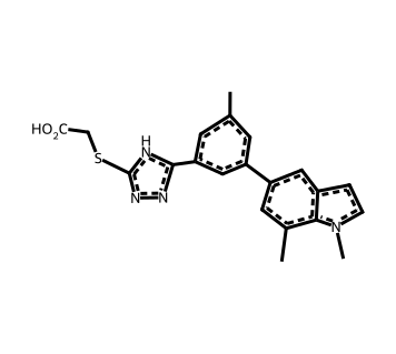 Cc1cc(-c2cc(C)c3c(ccn3C)c2)cc(-c2nnc(SCC(=O)O)[nH]2)c1